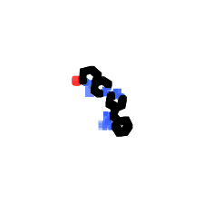 O=C1CCCC2(CCN(c3cc(-c4n[nH]c5ccccc45)ccn3)CC2)N1